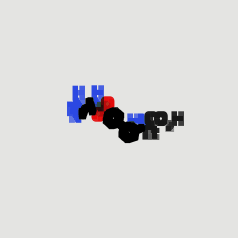 CCC(NC(=O)O)c1cccc(-c2ccc(S(=O)(=O)NC(C)(C)c3cnn[nH]3)cc2)c1